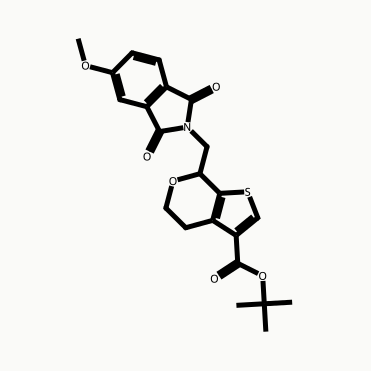 COc1ccc2c(c1)C(=O)N(CC1OCCc3c(C(=O)OC(C)(C)C)csc31)C2=O